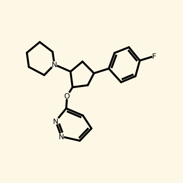 Fc1ccc(C2CC(Oc3cccnn3)C(N3CCCCC3)C2)cc1